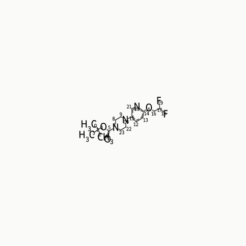 CC(C)(C)OC(=O)N1CCN(c2ccc(OCC(F)F)nc2)CC1